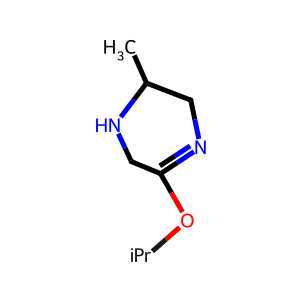 CC1CN=C(OC(C)C)CN1